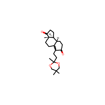 CC1(C)COC(C)(CCC2=C3CC[C@]4(C)C(=O)CC[C@H]4[C@@H]3CCC2=O)OC1